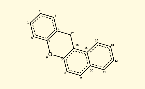 [c]1cccc2c1Oc1ccc3ccccc3c1C2